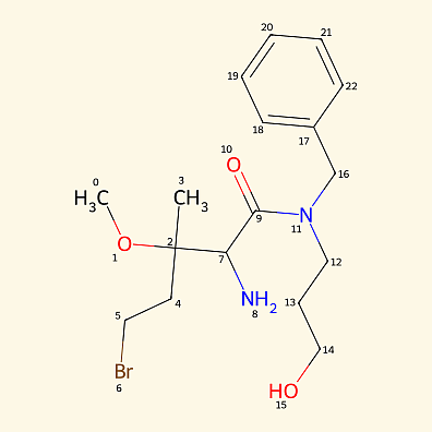 COC(C)(CCBr)C(N)C(=O)N(CCCO)Cc1ccccc1